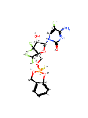 Nc1nc(=O)n([C@@H]2O[C@@](COP3(=S)OCc4ccccc4O3)(C(F)F)C(F)(F)[C@@H]2O)cc1F